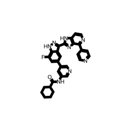 O=C(Nc1cncc(-c2cc(F)c3[nH]nc(-c4nc5c(-c6ccncc6)nccc5[nH]4)c3c2)c1)C1CCCCC1